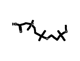 COC(C)(C)CCOC(C)(C)CC[N+](C)(C)CC(=O)O